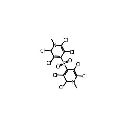 CN1C(Cl)=C(Cl)C(S(=O)(=O)C2=C(Cl)C(Cl)N(C)C(Cl)=C2Cl)=C(Cl)C1Cl